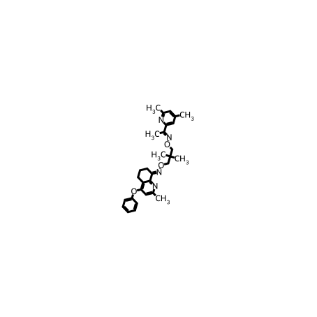 C/C(=N\OCC(C)(C)CO/N=C1\CCCc2c(Oc3ccccc3)cc(C)nc21)c1cc(C)cc(C)n1